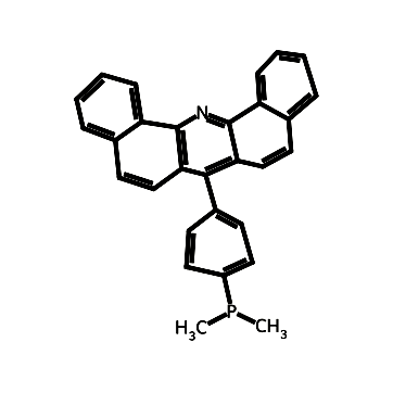 CP(C)c1ccc(-c2c3ccc4ccccc4c3nc3c2ccc2ccccc23)cc1